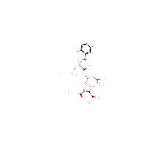 COC[C@H](NC(=O)c1cc(Cl)ccc1Cl)C(=O)N[C@@H](CC(C)C)B1OC(C(=O)O)C(C(=O)O)O1